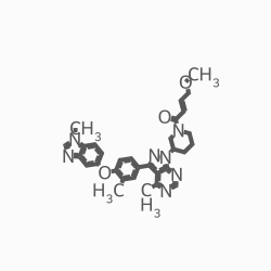 COC/C=C/C(=O)N1CCCC(n2nc(-c3ccc(Oc4ccc5c(c4)ncn5C)c(C)c3)c3c(C)ncnc32)C1